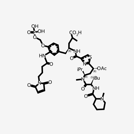 CC[C@H](C)C(NC(=O)C1CCCCN1C)C(=O)N(C)[C@H](C[C@@H](OC(C)=O)c1nc(C(=O)N[C@@H](Cc2ccc(OCOP(=O)(O)O)c(NC(=O)CCCN3C(=O)C=CC3=O)c2)CC(C)C(=O)O)cs1)C(C)C